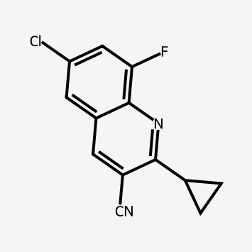 N#Cc1cc2cc(Cl)cc(F)c2nc1C1CC1